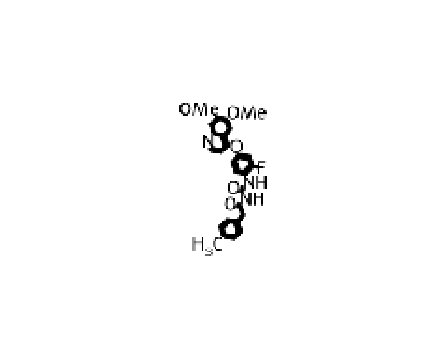 COc1cc2nccc(Oc3ccc(NC(=O)NC(=O)Cc4ccc(C)cc4)c(F)c3)c2cc1OC